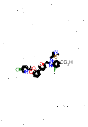 C[C@]1(c2ccc(Cl)cn2)Oc2cccc(C3=CC[C@H](Cc4nc5c(F)cc(C(=O)O)cc5n4Cc4cncs4)OC3)c2O1